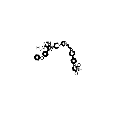 Nc1ncnc2c1c(-c1ccc(Oc3ccccc3)cc1)nn2C1CCN(C2CCN(CCCN3CCC(c4ccc(-n5ccc(=O)[nH]c5=O)cc4)CC3)C2)CC1